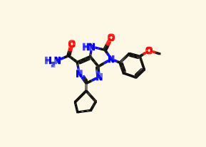 COc1cccc(-n2c(=O)[nH]c3c(C(N)=O)nc(C4CCCC4)nc32)c1